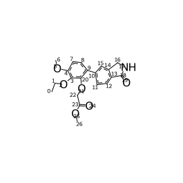 CCOc1c(OC)ccc(-c2ccc3c(c2)CNC3=O)c1OCC(=O)OC